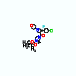 CC(C)(C)OC(=O)N1CCN(C(=O)C2CN(C3CCOCC3)C[C@H]2c2ccc(Cl)cc2F)CC12CC2